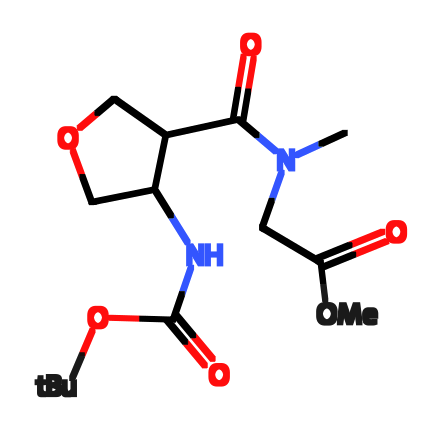 COC(=O)CN(C)C(=O)C1COCC1NC(=O)OC(C)(C)C